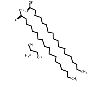 CCCCCCCCCCCCCCCCCC(=O)O.CCCCCCCCCCCCCCCCCC(=O)O.O.OCCO